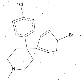 CN1CCC(C2=CCC(Br)C=C2)(c2ccc(Cl)cc2)CC1